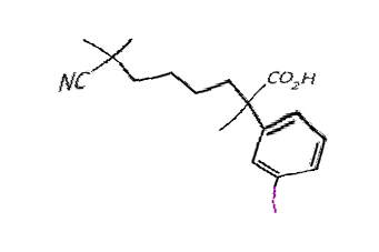 CC(C)(C#N)CCCCC(C)(C(=O)O)c1cccc(I)c1